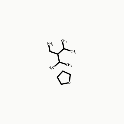 C1CCOC1.CC(C)C(CN)C(C)C